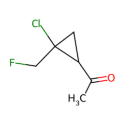 CC(=O)C1CC1(Cl)CF